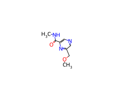 CNC(=O)c1cncc(COC)n1